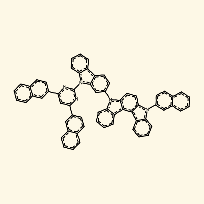 c1ccc2cc(-c3cc(-c4ccc5ccccc5c4)nc(-n4c5ccccc5c5ccc(-n6c7ccccc7c7c8c9ccccc9n(-c9ccc%10ccccc%10c9)c8ccc76)cc54)n3)ccc2c1